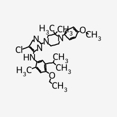 CCOc1cc(C)c(Nc2nc(N3CCN(c4ccc(OC)cc4)C(C)(C)C3)ncc2Cl)cc1C(C)C